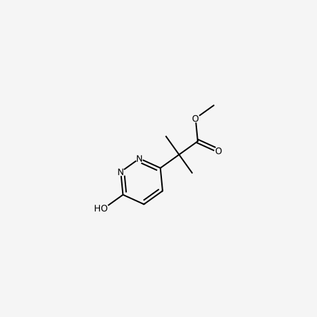 COC(=O)C(C)(C)c1ccc(O)nn1